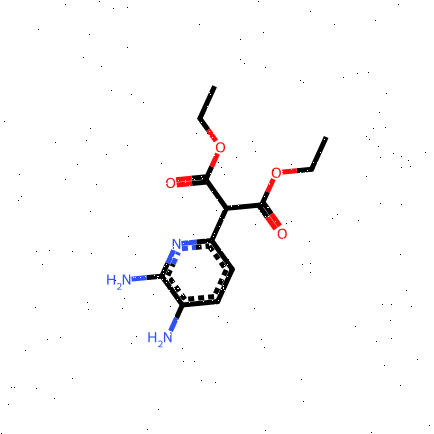 CCOC(=O)C(C(=O)OCC)c1ccc(N)c(N)n1